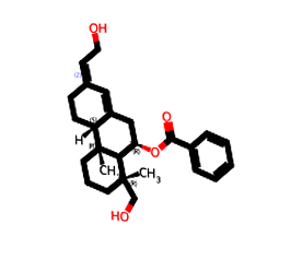 C[C@@]1(CO)CCC[C@@]2(C)C1[C@H](OC(=O)c1ccccc1)CC1=C/C(=C\CO)CC[C@H]12